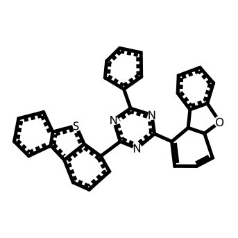 C1=CC2Oc3ccccc3C2C(c2nc(-c3ccccc3)nc(-c3cccc4c3sc3ccccc34)n2)=C1